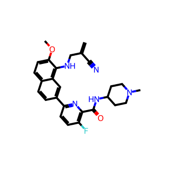 C=C(C#N)CNc1c(OC)ccc2ccc(-c3ccc(F)c(C(=O)NC4CCN(C)CC4)n3)cc12